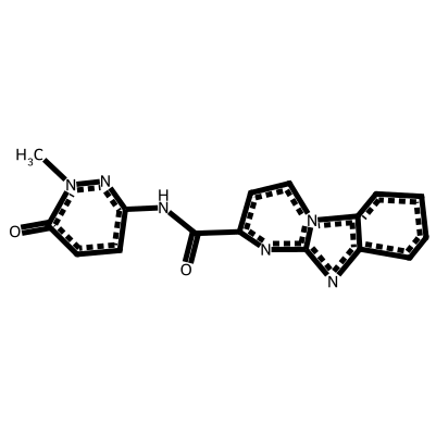 Cn1nc(NC(=O)c2ccn3c(n2)nc2ccccc23)ccc1=O